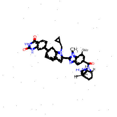 COc1cc(C(=O)N2C[C@H]3CC[C@@H]2[C@@H]3N)cc2nc(-c3cc4ccc(-c5ccc6c(=O)[nH]c(=O)[nH]c6c5)cc4n3CC3CC3)n(C)c12